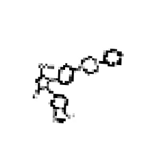 COC1=CC(=O)N(c2ccc3[nH]cnc3c2)C1c1ccc(N2CCN(c3ccccc3)CC2)cc1